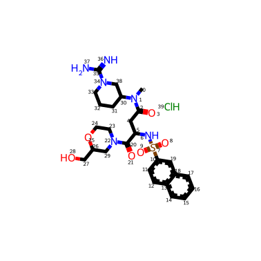 CN(C(=O)CC(NS(=O)(=O)c1ccc2ccccc2c1)C(=O)N1CCOC(CO)C1)C1CCCN(C(=N)N)C1.Cl